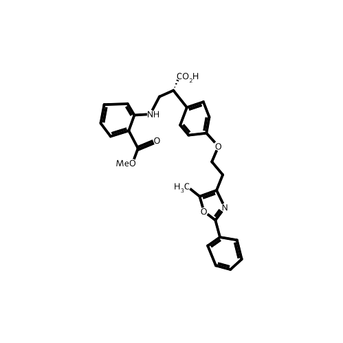 COC(=O)c1ccccc1NC[C@H](C(=O)O)c1ccc(OCCc2nc(-c3ccccc3)oc2C)cc1